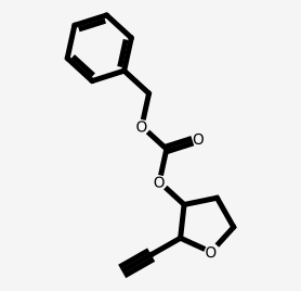 C#CC1OCCC1OC(=O)OCc1ccccc1